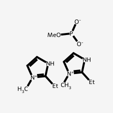 CCc1[nH]cc[n+]1C.CCc1[nH]cc[n+]1C.COP([O-])[O-]